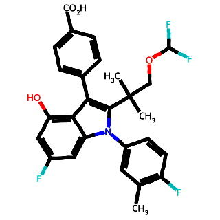 Cc1cc(-n2c(C(C)(C)COC(F)F)c(-c3ccc(C(=O)O)cc3)c3c(O)cc(F)cc32)ccc1F